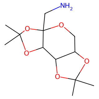 CC1(C)OC2COC3(CN)OC(C)(C)OC3C2O1